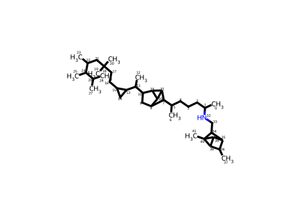 CC(CCCC(C)C1C2CC(C(C)C3CC3CCC(C)(C)CC(C)C(C)C(C)C)C3C2C13)NCC1C2C(C)C3C2C13C